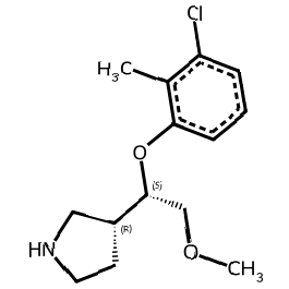 COC[C@@H](Oc1cccc(Cl)c1C)[C@@H]1CCNC1